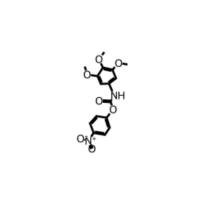 COc1cc(NC(=O)Oc2ccc([N+](=O)[O-])cc2)cc(OC)c1OC